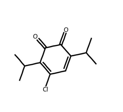 CC(C)C1=CC(Cl)=C(C(C)C)C(=O)C1=O